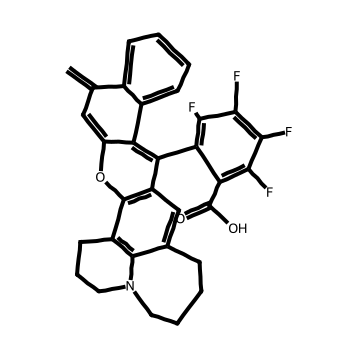 C=c1cc2c(c3ccccc13)=C(c1c(F)c(F)c(F)c(F)c1C(=O)O)c1cc3c4c(c1O2)CCCN4CCCC3